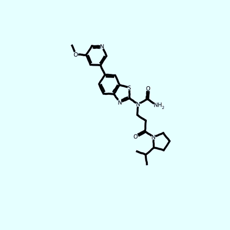 COc1cncc(-c2ccc3nc(N(CCC(=O)N4CCCC4C(C)C)C(N)=O)sc3c2)c1